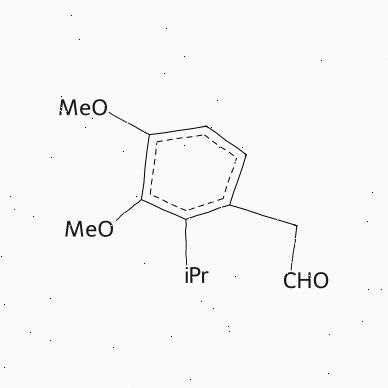 COc1ccc(CC=O)c(C(C)C)c1OC